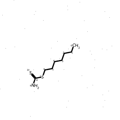 CCCCCCCSC(N)=S